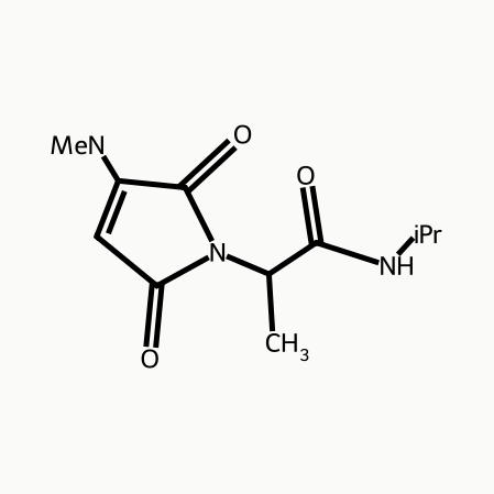 CNC1=CC(=O)N(C(C)C(=O)NC(C)C)C1=O